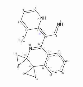 CC1=CC=CN/C1=C(\C=N)C1=NC2(CC2)C2(CC2)c2ccccc21